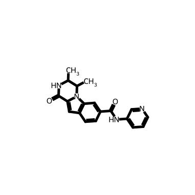 CC1NC(=O)c2cc3ccc(C(=O)Nc4cccnc4)cc3n2C1C